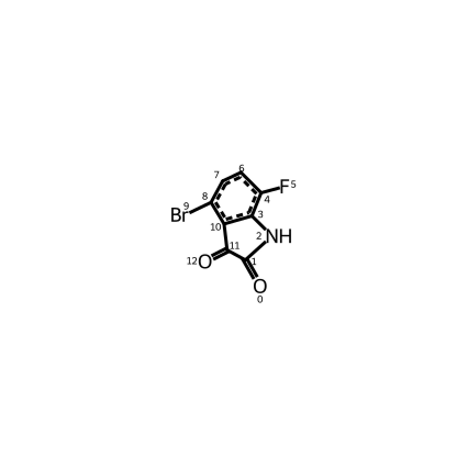 O=C1Nc2c(F)ccc(Br)c2C1=O